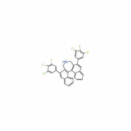 Fc1cc(-c2cc3ccccc3c3c2CNCc2c(-c4cc(F)c(F)c(F)c4)cc4ccccc4c2-3)cc(F)c1F